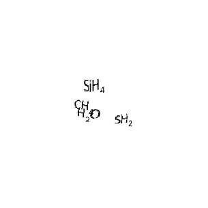 C.O.S.[SiH4]